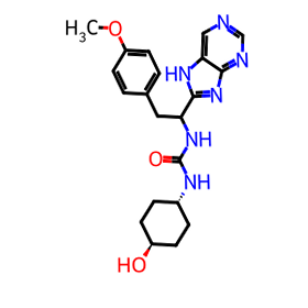 COc1ccc(CC(NC(=O)N[C@H]2CC[C@H](O)CC2)c2nc3ncncc3[nH]2)cc1